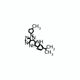 C=C(C)c1ccc2cc(-c3nn(C4CCC(C)C4)c4ncnc(N)c34)[nH]c2c1